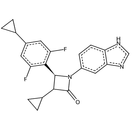 O=C1C(C2CC2)[C@@H](c2c(F)cc(C3CC3)cc2F)N1c1ccc2[nH]cnc2c1